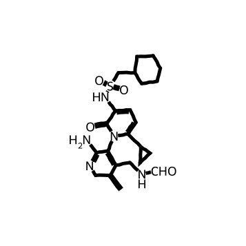 C=C1CN=C(N)C(n2c(C3CC3)ccc(NS(=O)(=O)CC3CCCCC3)c2=O)=C1CNC=O